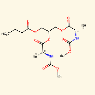 CC[C@H](C)[C@H](NC(=O)OC(C)(C)C)C(=O)OCC(COC(=O)CCC(=O)O)OC(=O)[C@@H](NC(=O)OC(C)(C)C)[C@@H](C)CC